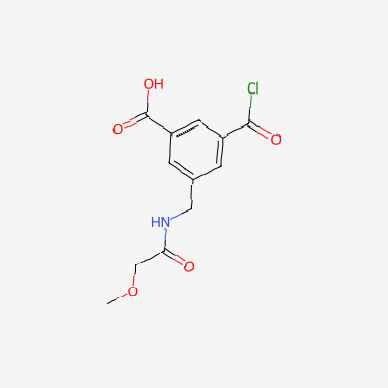 COCC(=O)NCc1cc(C(=O)O)cc(C(=O)Cl)c1